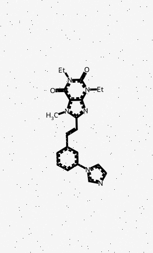 CCn1c(=O)c2c(nc(C=Cc3cccc(-n4ccnc4)c3)n2C)n(CC)c1=O